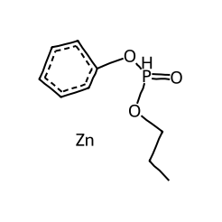 CCCO[PH](=O)Oc1ccccc1.[Zn]